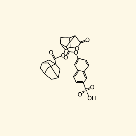 O=C1OC2C3CC(C2OC(=O)C24CC5CC(CC(C5)C2)C4)C(C(=O)Oc2ccc4cc(S(=O)(=O)O)ccc4c2)C13